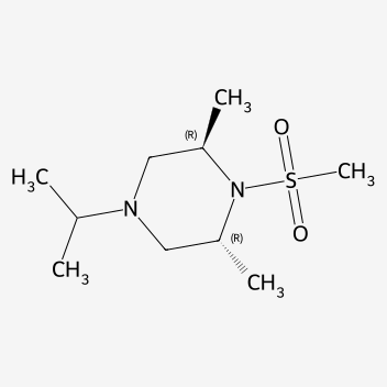 CC(C)N1C[C@@H](C)N(S(C)(=O)=O)[C@H](C)C1